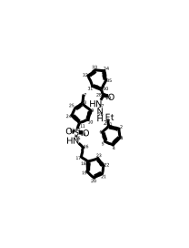 CCc1ccccc1.Cc1ccc(S(=O)(=O)NCCc2ccccc2)cc1.NNC(=O)c1ccccc1